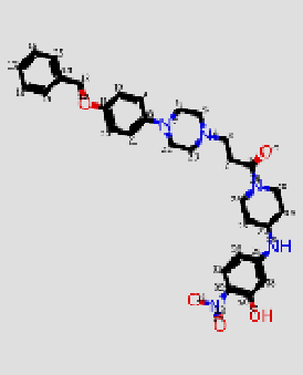 O=C(CCN1CCN(c2ccc(OCc3ccccc3)cc2)CC1)N1CCC(Nc2ccc([N+](=O)[O-])c(O)c2)CC1